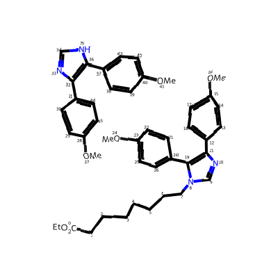 CCOC(=O)CCCCCCCn1cnc(-c2ccc(OC)cc2)c1-c1ccc(OC)cc1.COc1ccc(-c2nc[nH]c2-c2ccc(OC)cc2)cc1